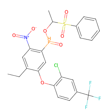 CCc1cc([N+](=O)[O-])c([PH](=O)OC(C)S(=O)(=O)c2ccccc2)cc1Oc1ccc(C(F)(F)F)cc1Cl